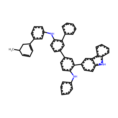 CC1C=CC=C(c2cccc(Nc3ccc(-c4ccc(Nc5ccccc5)c(-c5ccc6[nH]c7ccccc7c6c5)c4)cc3-c3ccccc3)c2)C1